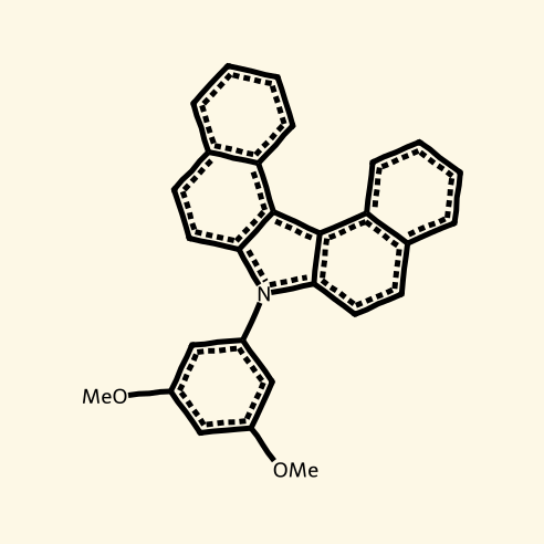 COc1cc(OC)cc(-n2c3ccc4ccccc4c3c3c4ccccc4ccc32)c1